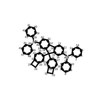 c1ccc(N(c2ccccc2)c2ccc3c(c2)C(c2ccc4c(c2)CC4)(c2ccc4c(c2)CC4)c2cc(N(c4ccccc4)c4ccccc4)ccc2-3)cc1